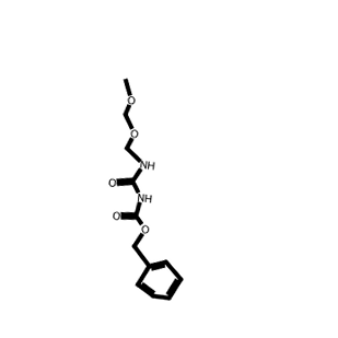 COCOCNC(=O)NC(=O)OCc1ccccc1